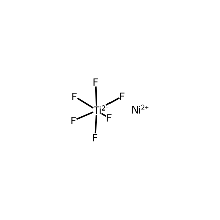 [F][Ti-2]([F])([F])([F])([F])[F].[Ni+2]